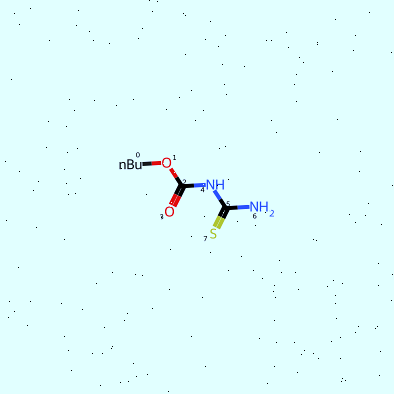 CCCCOC(=O)NC(N)=S